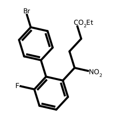 CCOC(=O)CCC(c1cccc(F)c1-c1ccc(Br)cc1)[N+](=O)[O-]